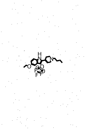 CCCCN1CC=C(c2[nH]c3ccc(OCC)cc3c2OS(=O)(=O)C(F)(F)F)CC1